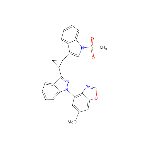 COc1cc(-n2nc(C3CC3c3cn(S(C)(=O)=O)c4ccccc34)c3ccccc32)c2ncoc2c1